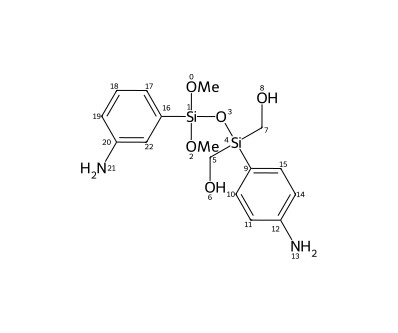 CO[Si](OC)(O[Si](CO)(CO)c1ccc(N)cc1)c1cccc(N)c1